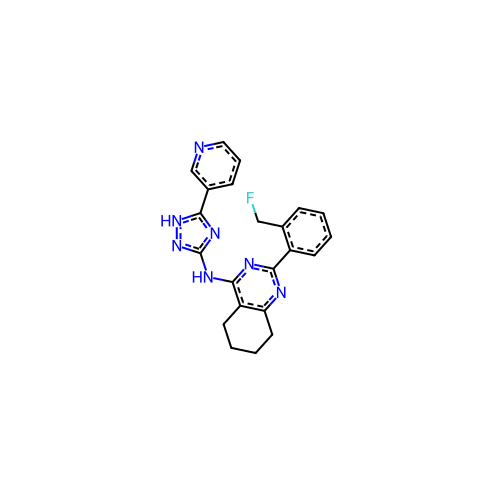 FCc1ccccc1-c1nc2c(c(Nc3n[nH]c(-c4cccnc4)n3)n1)CCCC2